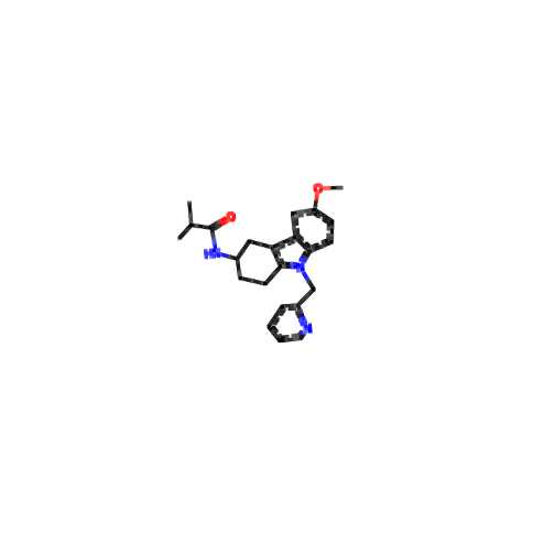 COc1ccc2c(c1)c1c(n2Cc2ccccn2)CCC(NC(=O)C(C)C)C1